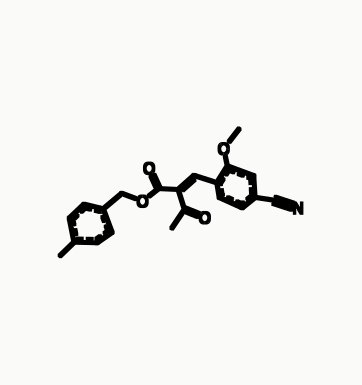 COc1cc(C#N)ccc1C=C(C(C)=O)C(=O)OCc1ccc(C)cc1